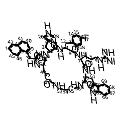 N=C(N)NCCC[C@@H]1NC(=O)[C@@H](Cc2ccc(F)cc2)NC(=O)C(Cc2c[nH]cn2)NC(=O)[C@@H](NC(=O)Cc2cccc3ccccc23)CCC(=O)NCCCCNC(=O)[C@H](Cc2c[nH]c3ccccc23)NC1=O